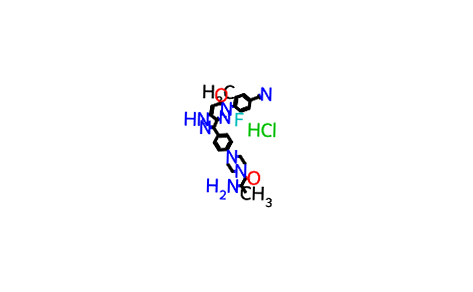 Cc1cc(C#N)cc(F)c1-n1nc2c(-c3ccc(N4CCN(C(=O)C(C)N)CC4)cc3)n[nH]c2cc1=O.Cl